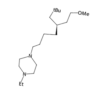 CCN1CCN(CCCC[C@H](CCOC)CC(C)(C)C)CC1